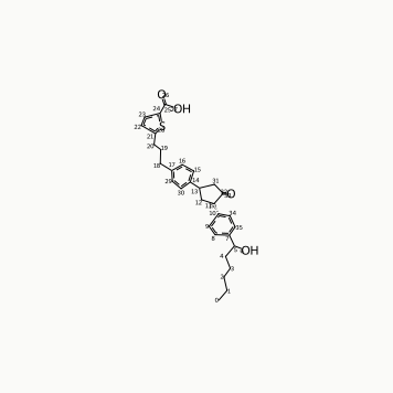 CCCCCC(O)c1ccc([C@@H]2CC(c3ccc(CCCc4ccc(C(=O)O)s4)cc3)CC2=O)cc1